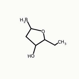 BC1CC(O)C(CC)O1